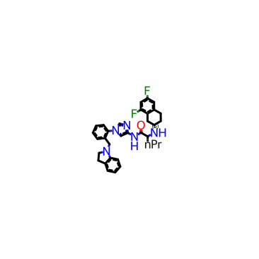 CCCC(N[C@H]1CCc2cc(F)cc(F)c2C1)C(=O)Nc1cn(-c2ccccc2CN2CCc3ccccc32)cn1